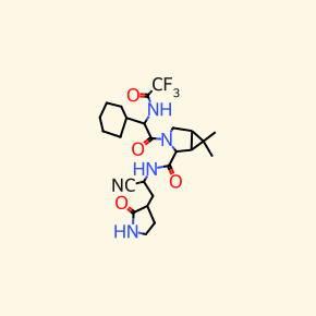 CC1(C)C2CN(C(=O)C(NC(=O)C(F)(F)F)C3CCCCC3)C(C(=O)NC(C#N)CC3CCNC3=O)C21